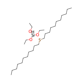 CCCCCCCCCCCSCCCCCCCCCCC.CCO[SiH](OCC)OCC